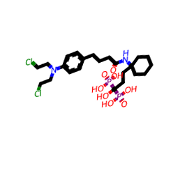 O=C(CCCc1ccc(N(CCCl)CCCl)cc1)NC1(CCC(O)(P(=O)(O)O)P(=O)(O)O)CCCCC1